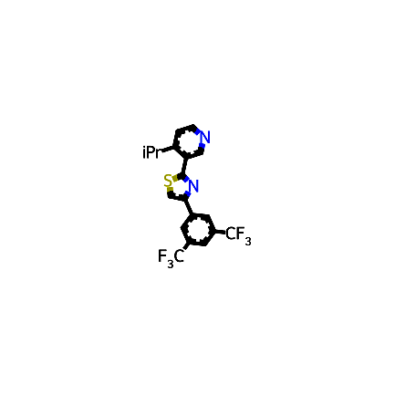 CC(C)c1ccncc1-c1nc(-c2cc(C(F)(F)F)cc(C(F)(F)F)c2)cs1